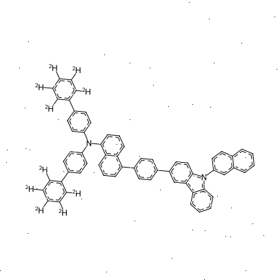 [2H]c1c([2H])c([2H])c(-c2ccc(N(c3ccc(-c4c([2H])c([2H])c([2H])c([2H])c4[2H])cc3)c3cccc4c(-c5ccc(-c6ccc7c(c6)c6ccccc6n7-c6ccc7ccccc7c6)cc5)cccc34)cc2)c([2H])c1[2H]